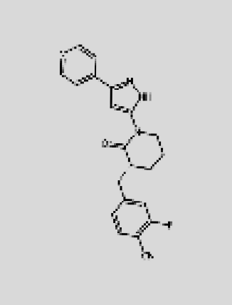 N#Cc1ccc(C[C@H]2CCCN(c3cc(-c4ccncc4)n[nH]3)C2=O)cc1F